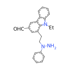 CCn1c2ccccc2c2cc(C=O)cc(CCN(N)c3ccccc3)c21